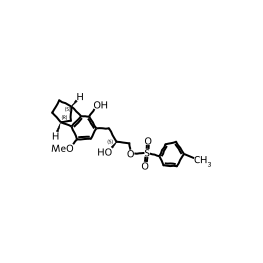 COc1cc(C[C@H](O)COS(=O)(=O)c2ccc(C)cc2)c(O)c2c1[C@@H]1CC[C@H]2C1